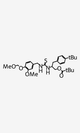 COCOc1ccc(CNC(=S)NC(COC(=O)C(C)(C)C)Cc2ccc(C(C)(C)C)cc2)cc1OC